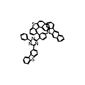 c1ccc(-c2nc(-c3ccc4sc5ccccc5c4c3)nc(-c3ccc(-n4c5ccccc5c5cc6ccccc6cc54)cc3-c3cccc4sc5ccc6ccccc6c5c34)n2)cc1